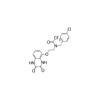 O=C(N(CCOc1cccc2[nH]c(=O)c(=O)[nH]c12)Cc1ccc(Cl)cc1)C(F)(F)F